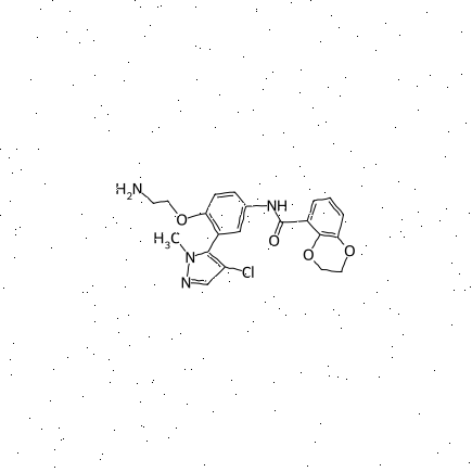 Cn1ncc(Cl)c1-c1cc(NC(=O)c2cccc3c2OCCO3)ccc1OCCN